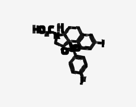 O=C(O)N1CC[C@@]2(S(=O)(=O)c3ccc(F)cc3)c3ccc(I)cc3CC[C@@H]12